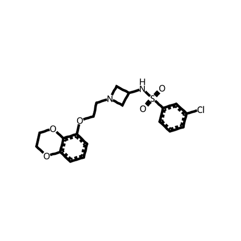 O=S(=O)(NC1CN(CCOc2cccc3c2OCCO3)C1)c1cccc(Cl)c1